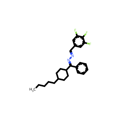 CCCCCC1CCC(C(=NN=Cc2cc(F)c(F)c(F)c2)c2ccccc2)CC1